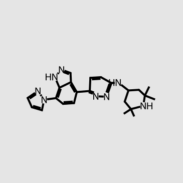 CC1(C)CC(Nc2ccc(-c3ccc(-n4cccn4)c4[nH]ncc34)nn2)CC(C)(C)N1